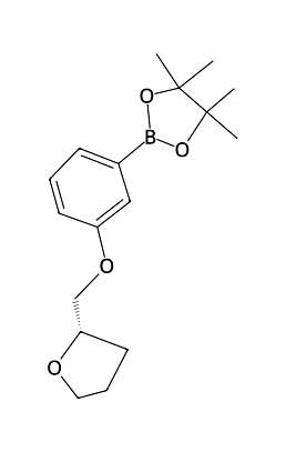 CC1(C)OB(c2cccc(OC[C@@H]3CCCO3)c2)OC1(C)C